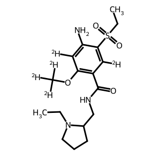 [2H]c1c(N)c(S(=O)(=O)CC)c([2H])c(C(=O)NCC2CCCN2CC)c1OC([2H])([2H])[2H]